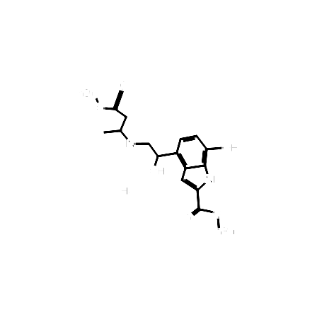 CCCCOC(=O)CC(C)NCC(O)c1ccc(O)c2[nH]c(C(=O)OCCCC)cc12.Cl